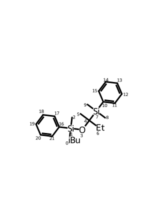 CCC(C)[Si](C)(OC(C)(CC)[Si](C)(C)c1ccccc1)c1ccccc1